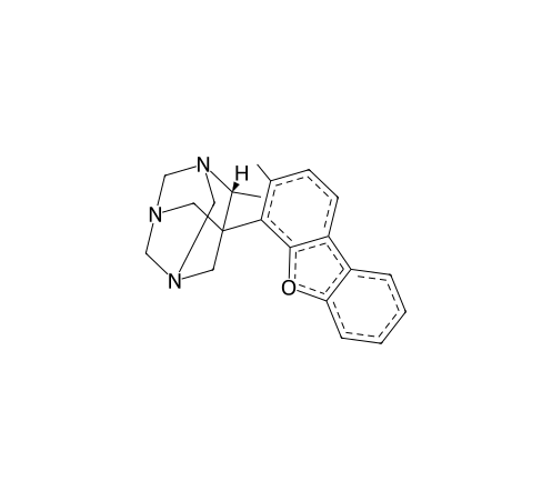 Cc1ccc2c(oc3ccccc32)c1C12CN3CN(CN(C3)[C@@H]1C)C2